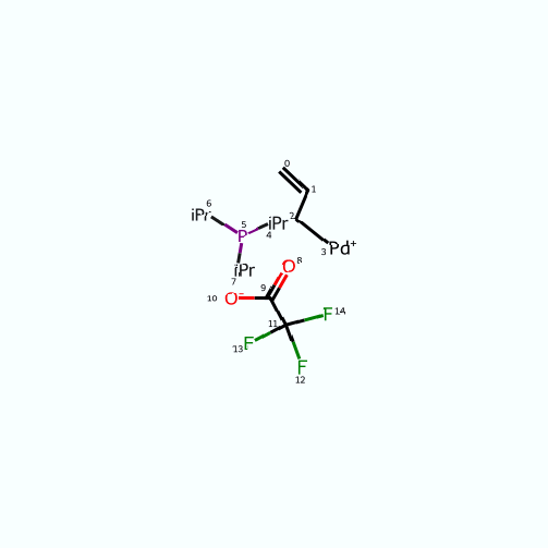 C=C[CH2][Pd+].CC(C)P(C(C)C)C(C)C.O=C([O-])C(F)(F)F